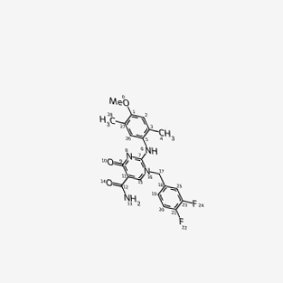 COc1cc(C)c(Nc2nc(=O)c(C(N)=O)cn2Cc2ccc(F)c(F)c2)cc1C